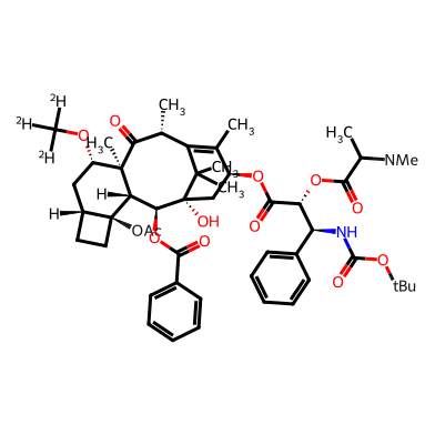 [2H]C([2H])([2H])O[C@H]1C[C@H]2CC[C@@]2(OC(C)=O)[C@H]2[C@H](OC(=O)c3ccccc3)[C@]3(O)C[C@H](OC(=O)[C@H](OC(=O)C(C)NC)[C@@H](NC(=O)OC(C)(C)C)c4ccccc4)C(C)=C([C@@H](C)C(=O)[C@]12C)C3(C)C